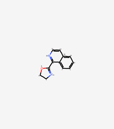 c1ccc2c(C3=NCCO3)nccc2c1